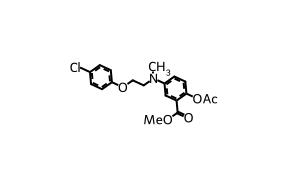 COC(=O)c1cc(N(C)CCOc2ccc(Cl)cc2)ccc1OC(C)=O